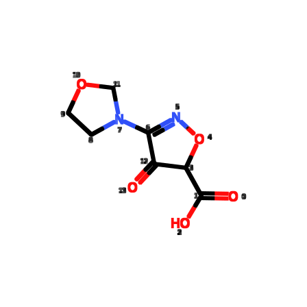 O=C(O)C1ON=C(N2CCOC2)C1=O